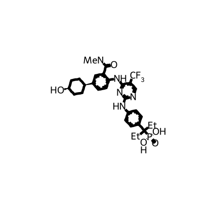 CCC(CC)(c1ccc(Nc2ncc(C(F)(F)F)c(Nc3ccc([C@H]4CC[C@@H](O)CC4)cc3C(=O)NC)n2)cc1)P(=O)(O)O